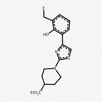 CCOC(=O)C1CCN(c2nc(-c3cccc(CF)c3O)cs2)CC1